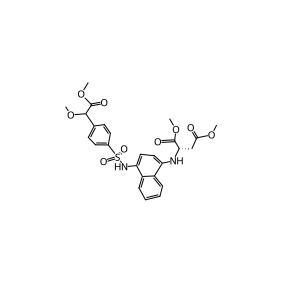 COC(=O)C[C@H](Nc1ccc(NS(=O)(=O)c2ccc(C(OC)C(=O)OC)cc2)c2ccccc12)C(=O)OC